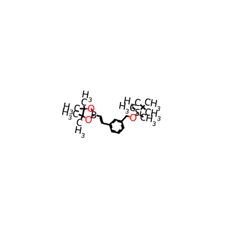 CC1(C)OB(/C=C/c2cccc(CO[Si](C)(C)C(C)(C)C)c2)OC1(C)C